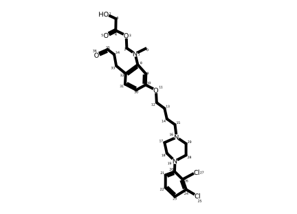 CN(COC(=O)CO)c1cc(OCCCCN2CCN(c3cccc(Cl)c3Cl)CC2)ccc1CCC=O